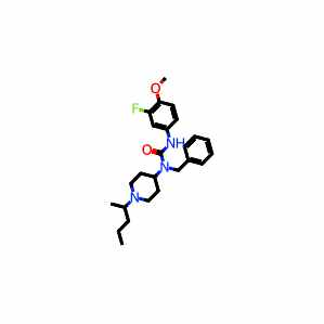 CCCC(C)N1CCC(N(Cc2ccccc2)C(=O)Nc2ccc(OC)c(F)c2)CC1